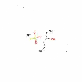 CCCC(O)C[CH2][Na].O=S([O-])([O-])=S.[Na+].[Na+]